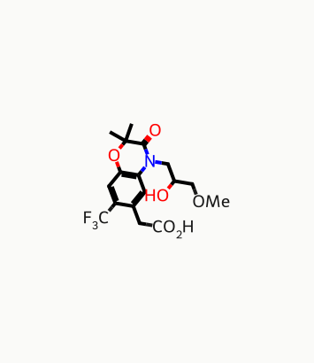 COCC(O)CN1C(=O)C(C)(C)Oc2cc(C(F)(F)F)c(CC(=O)O)cc21